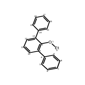 CCOc1c(-c2ccccc2)cccc1-c1ccccc1